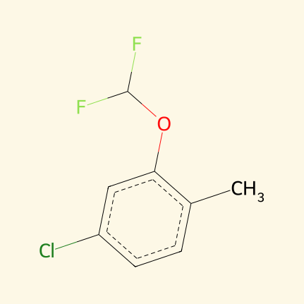 Cc1ccc(Cl)cc1OC(F)F